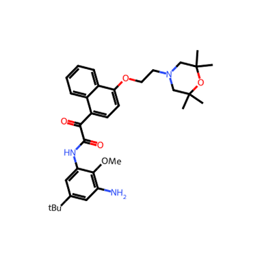 COc1c(N)cc(C(C)(C)C)cc1NC(=O)C(=O)c1ccc(OCCN2CC(C)(C)OC(C)(C)C2)c2ccccc12